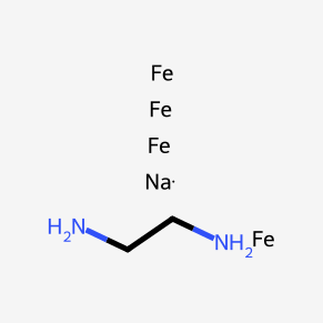 NCCN.[Fe].[Fe].[Fe].[Fe].[Na]